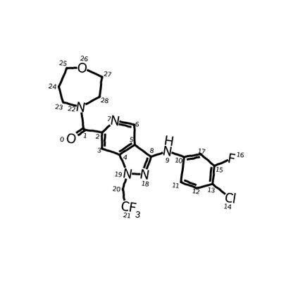 O=C(c1cc2c(cn1)c(Nc1ccc(Cl)c(F)c1)nn2CC(F)(F)F)N1CCCOCC1